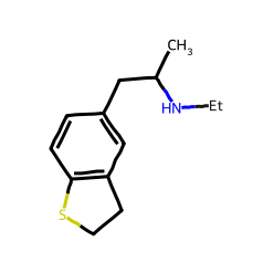 CCNC(C)Cc1ccc2c(c1)CCS2